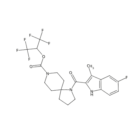 Cc1c(C(=O)N2CCCC23CCN(C(=O)OC(C(F)(F)F)C(F)(F)F)CC3)[nH]c2ccc(F)cc12